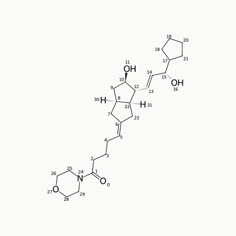 O=C(CCC/C=C1\C[C@H]2C[C@@H](O)[C@H](/C=C/[C@@H](O)C3CCCC3)[C@H]2C1)N1CCOCC1